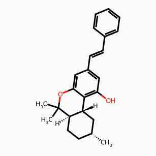 C[C@@H]1CC[C@@H]2[C@@H](C1)c1c(O)cc(/C=C/c3ccccc3)cc1OC2(C)C